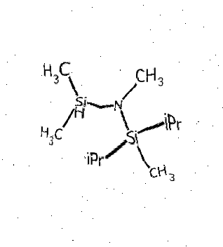 CC(C)[Si](C)(C(C)C)N(C)[SiH](C)C